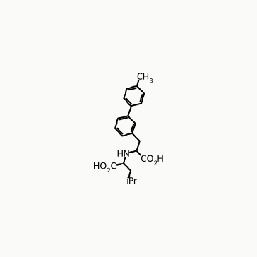 Cc1ccc(-c2cccc(CC(N[C@@H](CC(C)C)C(=O)O)C(=O)O)c2)cc1